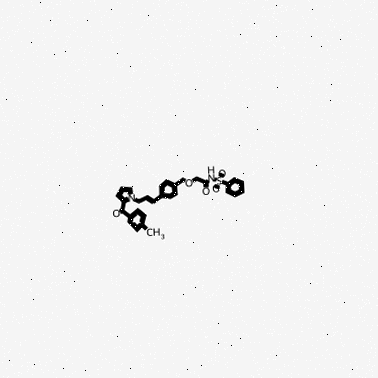 Cc1ccc(C(=O)c2cccn2C/C=C/c2ccc(COCC(=O)NS(=O)(=O)c3ccccc3)cc2)cc1